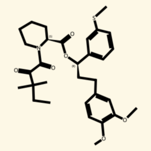 CCC(C)(C)C(=O)C(=O)N1CCCC[C@H]1C(=O)O[C@H](CCc1ccc(OC)c(OC)c1)c1cccc(SC)c1